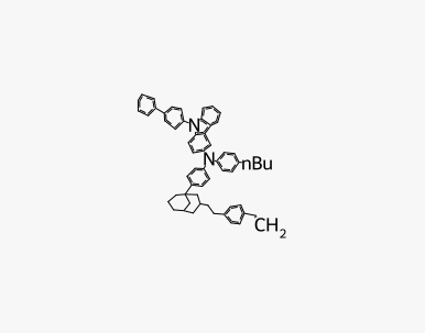 C=Cc1ccc(CCC2CC3CCCC(c4ccc(N(c5ccc(CCCC)cc5)c5ccc6c(c5)c5ccccc5n6-c5ccc(-c6ccccc6)cc5)cc4)(C3)C2)cc1